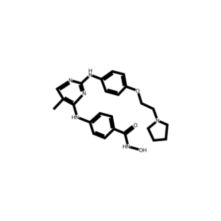 Cc1cnc(Nc2ccc(OCCN3CCCC3)cc2)nc1Nc1ccc(C(=O)NO)cc1